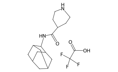 O=C(NC1C2CC3CC(C2)CC1C3)C1CCNCC1.O=C(O)C(F)(F)F